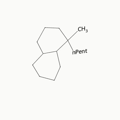 CCCCCC1(C)CCCC2CCCCC21